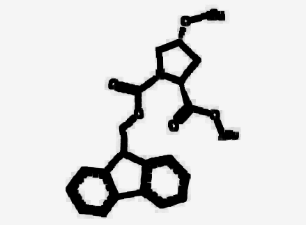 CCCCOC(=O)[C@@H]1C[C@@H](OC(C)(C)C)CN1C(=O)OCC1c2ccccc2-c2ccccc21